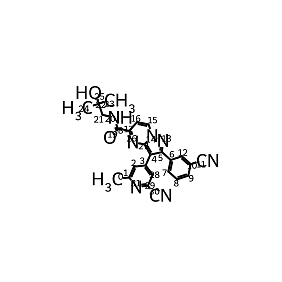 Cc1cc(-c2c(-c3cccc(C#N)c3)nn3ccc(C(=O)NCC(C)(C)O)nc23)cc(C#N)n1